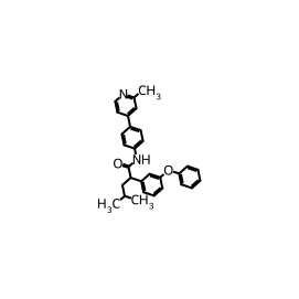 Cc1cc(-c2ccc(NC(=O)C(CC(C)C)c3cccc(Oc4ccccc4)c3)cc2)ccn1